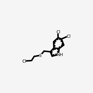 ClCCSCc1c[nH]c2cc(Cl)c(Cl)cc12